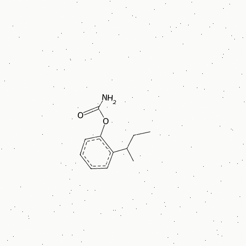 CCC(C)c1ccccc1OC(N)=O